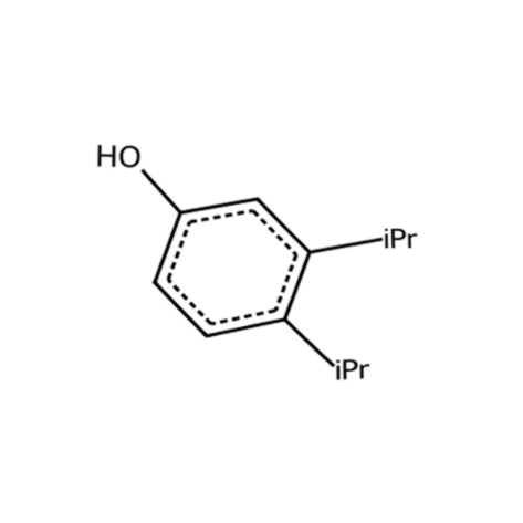 CC(C)c1ccc(O)cc1C(C)C